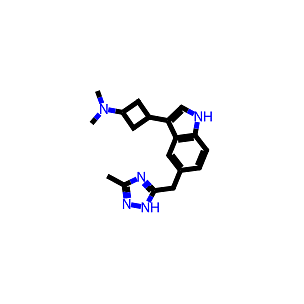 Cc1n[nH]c(Cc2ccc3[nH]cc(C4CC(N(C)C)C4)c3c2)n1